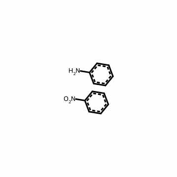 Nc1ccccc1.O=[N+]([O-])c1ccccc1